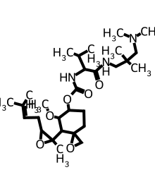 COC1C(OC(=O)NC(C(=O)NCC(C)(C)CN(C)C)C(C)C)CCC2(CO2)C1C1(C)OC1CC=C(C)C